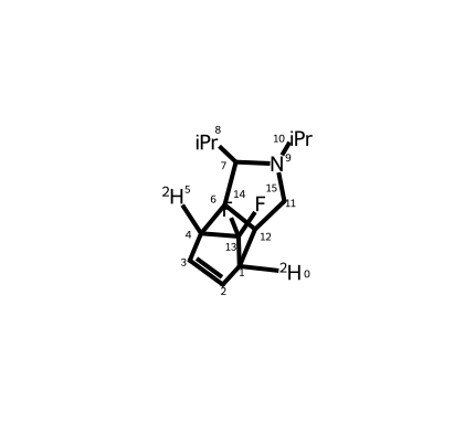 [2H]C12C=CC([2H])(C3C(C(C)C)N(C(C)C)CC31)C2(F)F